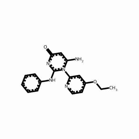 CCOc1ccnc(-n2c(N)cc(=O)nc2Nc2ccccc2)c1